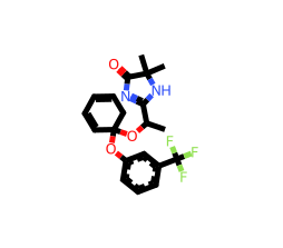 CC(OC1(Oc2cccc(C(F)(F)F)c2)C=CC=CC1)C1=NC(=O)C(C)(C)N1